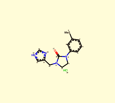 CSc1cccc(N2CCN(Cc3c[nH]cn3)C2=O)c1.Cl